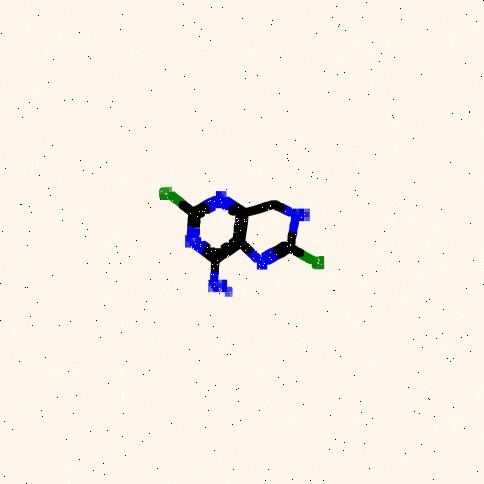 Nc1nc(Cl)nc2c1N=C(Cl)NC2